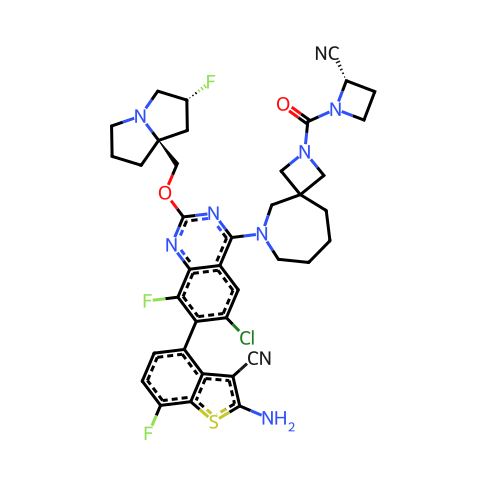 N#Cc1c(N)sc2c(F)ccc(-c3c(Cl)cc4c(N5CCCCC6(CN(C(=O)N7CC[C@H]7C#N)C6)C5)nc(OC[C@@]56CCCN5C[C@H](F)C6)nc4c3F)c12